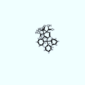 O=C(O)C1(C(=O)O)C=CC2=C(c3ccccc3C2(c2ccccc2)c2ccccc2)C1(C(=O)O)C(=O)O